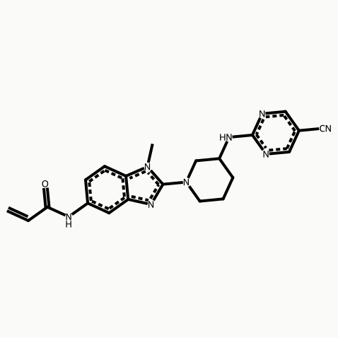 C=CC(=O)Nc1ccc2c(c1)nc(N1CCCC(Nc3ncc(C#N)cn3)C1)n2C